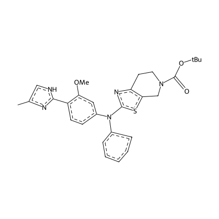 COc1cc(N(c2ccccc2)c2nc3c(s2)CN(C(=O)OC(C)(C)C)CC3)ccc1-c1nc(C)c[nH]1